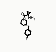 NC1(C(=O)N2CCC[C@@H](Cc3ccc(F)cc3)C2)CC1